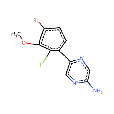 COc1c(Br)ccc(-c2cnc(N)cn2)c1F